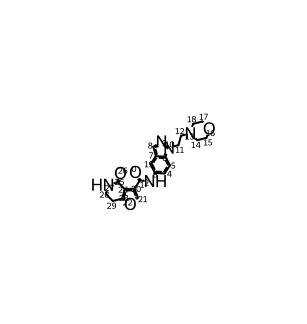 O=C(Nc1ccc2c(cnn2CCN2CCOCC2)c1)c1coc2c1C(=O)NCC2